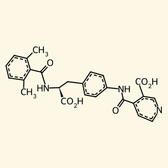 Cc1cccc(C)c1C(=O)N[C@@H](Cc1ccc(NC(=O)c2ccncc2C(=O)O)cc1)C(=O)O